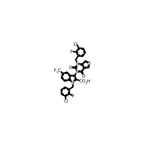 O=C(O)c1c(-n2c(=O)c3cscc3n(Cc3cccc(Cl)c3F)c2=O)c2cc(C(F)(F)F)ccc2n1Cc1cccc(Cl)c1F